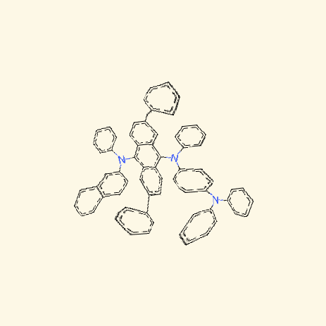 c1ccc(-c2ccc3c(N(c4ccccc4)c4ccc5ccccc5c4)c4cc(-c5ccccc5)ccc4c(N(c4ccccc4)c4ccc(N(c5ccccc5)c5ccccc5)cc4)c3c2)cc1